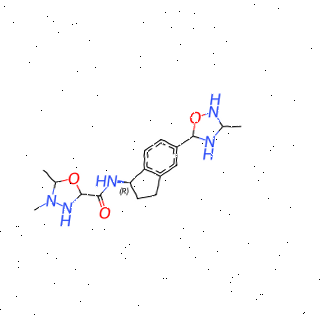 CC1NOC(c2ccc3c(c2)CC[C@H]3NC(=O)C2NN(C)C(C)O2)N1